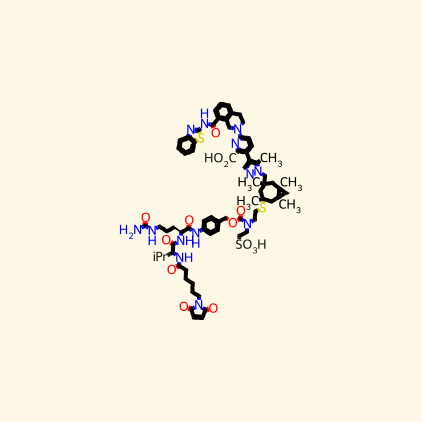 Cc1c(-c2ccc(N3CCc4cccc(C(=O)Nc5nc6ccccc6s5)c4C3)nc2C(=O)O)cnn1CC1(C)CC(C)(SCCN(CCS(=O)(=O)O)C(=O)OCc2ccc(NC(=O)[C@H](CCCNC(N)=O)NC(=O)C(NC(=O)CCCCCN3C(=O)C=CC3=O)C(C)C)cc2)CC2(C)CC2(C)C1